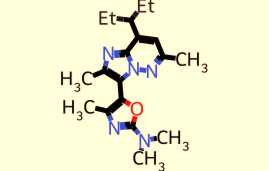 CCC(CC)c1cc(C)nn2c(-c3oc(N(C)C)nc3C)c(C)nc12